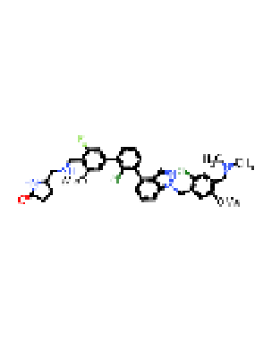 COc1cc(Cn2ncc3c(-c4cccc(-c5cc(F)c(CNCC6CCC(=O)N6)c(OC)c5)c4Cl)cccc32)c(Cl)cc1CN(C)C